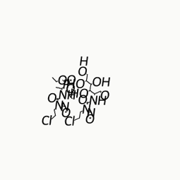 CCOP(=O)(OCC)C(C)NC(=O)N(CCCl)N=O.O=C[C@H](NC(=O)N(CCCl)N=O)[C@@H](O)[C@H](O)[C@H](O)CO